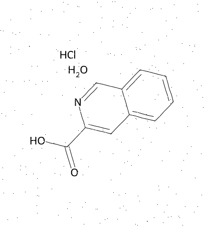 Cl.O.O=C(O)c1cc2ccccc2cn1